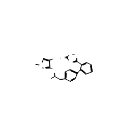 CCOC(=O)c1cn(C)nc1NC(CC)Cc1ccc(-c2ccccc2-c2nc(=O)s[nH]2)cc1